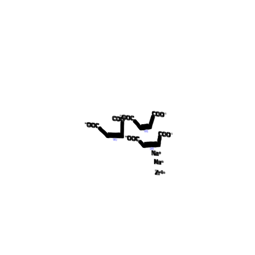 O=C([O-])/C=C\C(=O)[O-].O=C([O-])/C=C\C(=O)[O-].O=C([O-])/C=C\C(=O)[O-].[Na+].[Na+].[Zr+4]